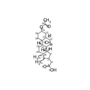 C=C1C(CC(=O)O)C[C@H]2[C@@H]3CC[C@@H]4C[C@H](OC(C)=O)CC[C@]4(C)[C@H]3CC[C@]12C